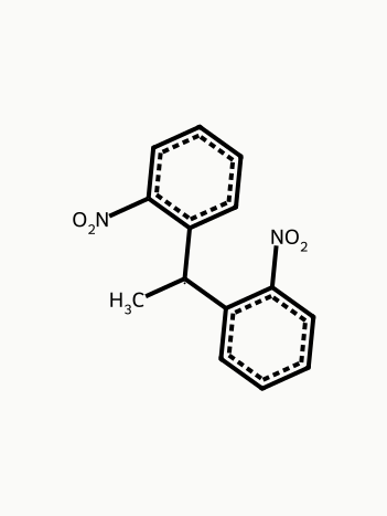 C[C](c1ccccc1[N+](=O)[O-])c1ccccc1[N+](=O)[O-]